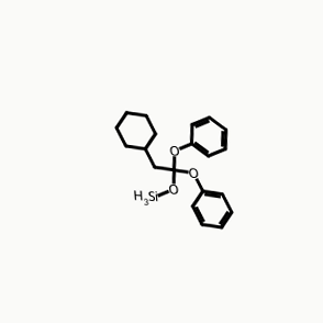 [SiH3]OC(CC1CCCCC1)(Oc1ccccc1)Oc1ccccc1